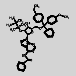 COc1ccc(C(OC[C@H]2O[C@@H](n3ccc4c(NC(=O)c5ccccc5)ncnc43)[C@H](O[Si](C)(C)C(C)(C)C)[C@@H]2O)(c2ccccc2)c2ccc(OC)cc2)cc1